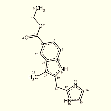 CCOC(=O)c1ccc2[nH]c(Cc3ncc[nH]3)c(C)c2c1